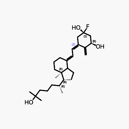 C=C1/C(=C\C=C2CCC[C@@]3(C)C2CC[C@@H]3[C@H](C)CCCC(C)(C)O)C[C@](O)(F)C[C@H]1O